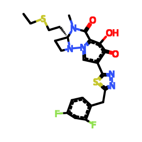 CCSCC[C@@]12CCN1n1cc(-c3nnc(Cc4ccc(F)cc4F)s3)c(=O)c(O)c1C(=O)N2C